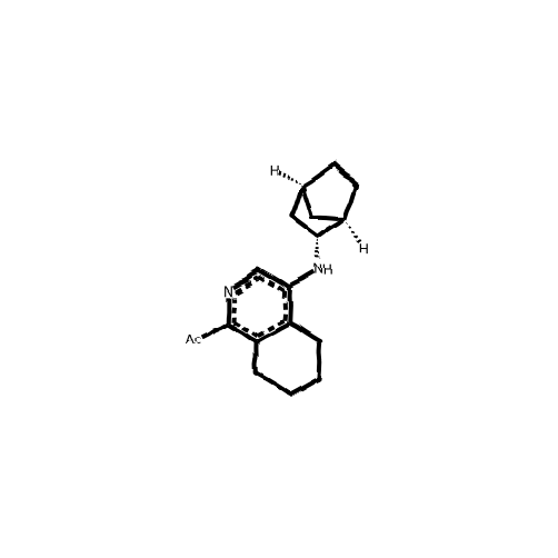 CC(=O)c1ncc(N[C@@H]2C[C@H]3CC[C@@H]2C3)c2c1CCCC2